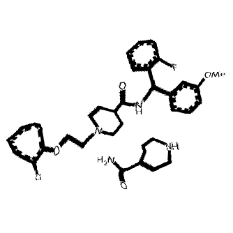 COc1cccc(C(NC(=O)C2CCN(CCOc3ccccc3Cl)CC2)c2ccccc2F)c1.NC(=O)C1CCNCC1